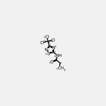 CCC(=O)Nc1nc(C(Cl)(Cl)Cl)ns1